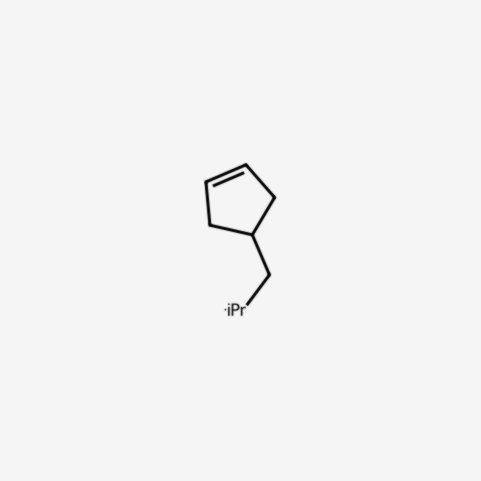 C[C](C)CC1CC=CC1